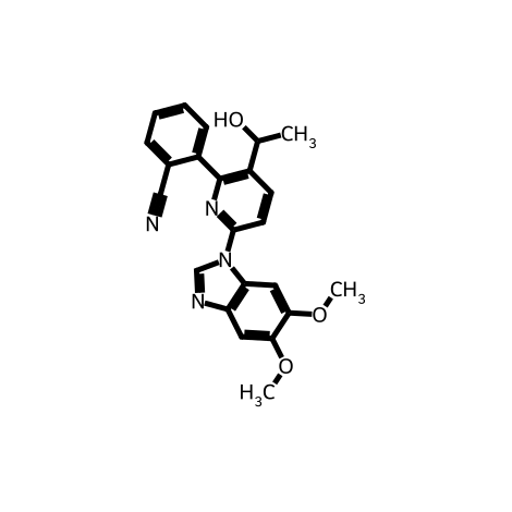 COc1cc2ncn(-c3ccc(C(C)O)c(-c4ccccc4C#N)n3)c2cc1OC